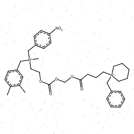 Cc1ccc(C[N+](C)(CCOC(=O)OCOC(=O)CCC[N+]2(Cc3ccccc3)CCCCC2)Cc2ccc([N+](=O)[O-])cc2)cc1C